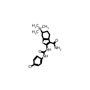 C[N+](C)(C)C1CCc2c(sc(NC(=O)Nc3ccc(Cl)cc3)c2C(N)=O)C1